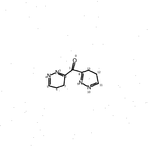 O=C(C1=NN=CCC1)C1=NN=CCC1